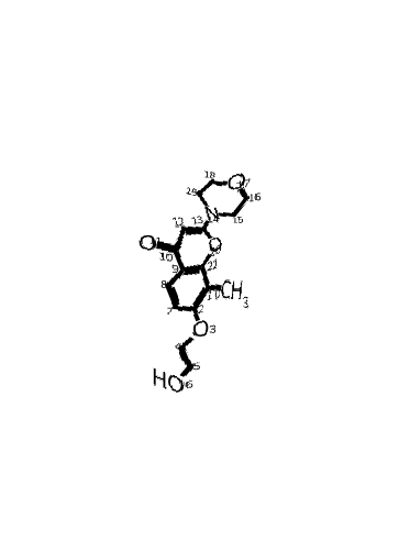 Cc1c(OCCO)ccc2c(=O)cc(N3CCOCC3)oc12